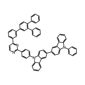 c1ccc(-c2ccc(-c3cccc(-c4ccnc(-c5ccc(-n6c7ccccc7c7cc(-c8ccc9c(c8)c8ccccc8n9-c8ccccc8)ccc76)cc5)n4)c3)cc2-c2ccccc2)cc1